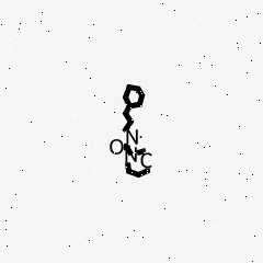 O=C([N]CCCC1CCCCC1)N1CCCCCC1